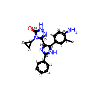 Cc1cc(-c2[nH]c(-c3ccccc3)nc2-c2n[nH]c(=O)n2C2CC2)ccc1N